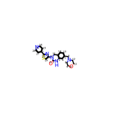 O=C1Nc2cc(CN3CCOCC3)ccc2CN1c1csc(-c2ccncc2)n1